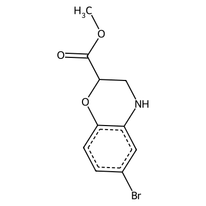 COC(=O)C1CNc2cc(Br)ccc2O1